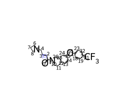 O=C(/C=C/CN1CCC1)N1CCc2ccc(Oc3ccc(C(F)(F)F)cc3)cc2C1